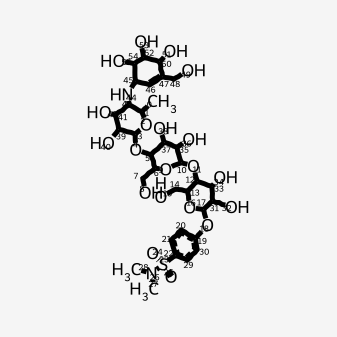 CC1OC(OC2C(CO)OC(OC3C(CO)OC(Oc4ccc(S(=O)(=O)N(C)C)cc4)C(O)C3O)C(O)C2O)C(O)C(O)C1NC1C=C(CO)C(O)C(O)C1O